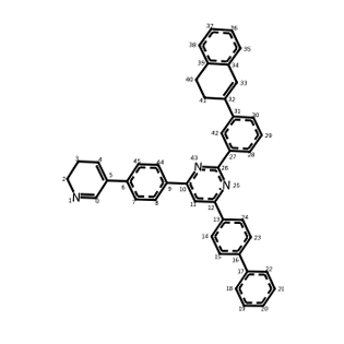 C1=NCCC=C1c1ccc(-c2cc(-c3ccc(-c4ccccc4)cc3)nc(-c3cccc(C4=Cc5ccccc5CC4)c3)n2)cc1